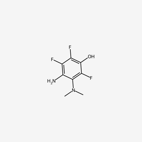 CN(C)c1c(N)c(F)c(F)c(O)c1F